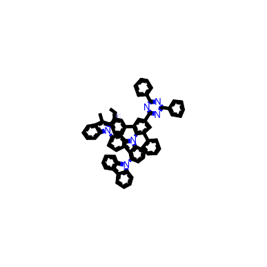 C/C=C\c1c(C)c2ccccc2n1-c1ccc2c3c(-n4c5ccccc5c5ccccc54)cccc3n(-c3c(-c4ccccc4)cc(-c4nc(-c5ccccc5)nc(-c5ccccc5)n4)cc3-c3ccccc3)c2c1